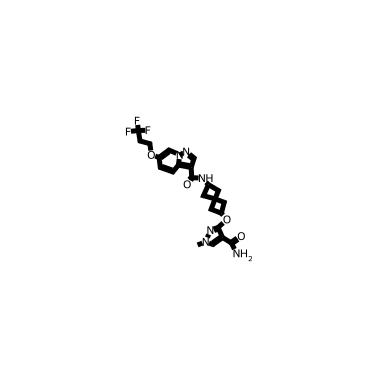 Cn1cc(C(N)=O)c(OC2CC3(CC(NC(=O)c4cnn5cc(OCCC(F)(F)F)ccc45)C3)C2)n1